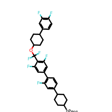 CCCCCC1CCC(c2ccc(-c3cc(F)c(C(F)(F)OC4CCC(c5ccc(F)c(F)c5)CC4)c(F)c3)c(F)c2)CC1